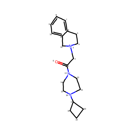 O=C(CN1CCc2c[c]ccc2C1)N1CCN(C2CCC2)CC1